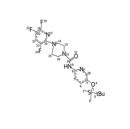 CC(C)(C)[Si](C)(C)Oc1ccc(NC(=O)N2CCN(c3nc(F)c(F)cc3F)CC2)nc1